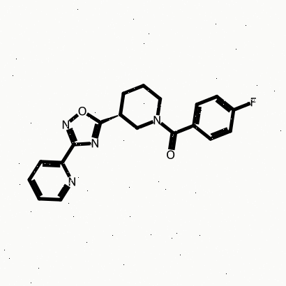 O=C(c1ccc(F)cc1)N1CCC[C@H](c2nc(-c3ccccn3)no2)C1